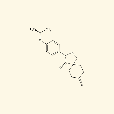 C[C@@H](Oc1ccc(N2CCC3(CCC(=O)CC3)C2=O)cc1)C(F)(F)F